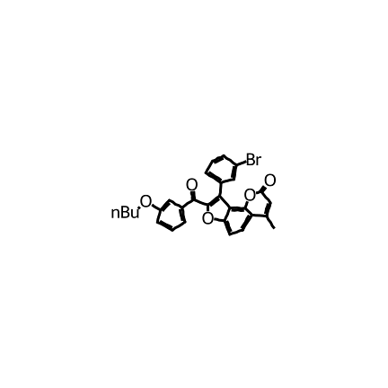 CCCCOc1cccc(C(=O)c2oc3ccc4c(C)cc(=O)oc4c3c2-c2cccc(Br)c2)c1